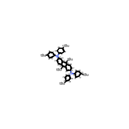 CC(C)(C)C1=CC=C(N(c2ccc(C(C)(C)C)cc2)c2ccc3c(C(C)(C)C)c4cc(N(c5ccc(C(C)(C)C)cc5)c5ccc(C(C)(C)C)cc5)ccc4c(C(C)(C)C)c3c2)CC1